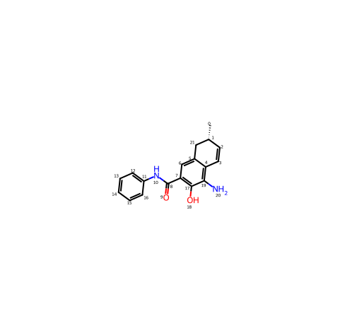 C[C@@H]1C=Cc2c(cc(C(=O)Nc3ccccc3)c(O)c2N)C1